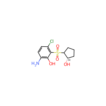 Nc1ccc(Cl)c(S(=O)(=O)C2CCC[C@@H]2O)c1O